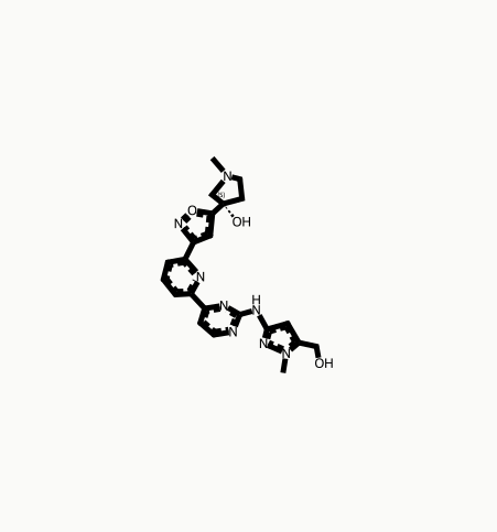 CN1CC[C@@](O)(c2cc(-c3cccc(-c4ccnc(Nc5cc(CO)n(C)n5)n4)n3)no2)C1